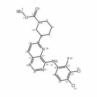 CC(C)(C)OC(=O)N1CCCC(c2ccc3ncnc(Nc4ccc(Cl)c(Cl)c4F)c3n2)C1